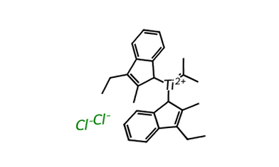 CCC1=C(C)[CH]([Ti+2](=[C](C)C)[CH]2C(C)=C(CC)c3ccccc32)c2ccccc21.[Cl-].[Cl-]